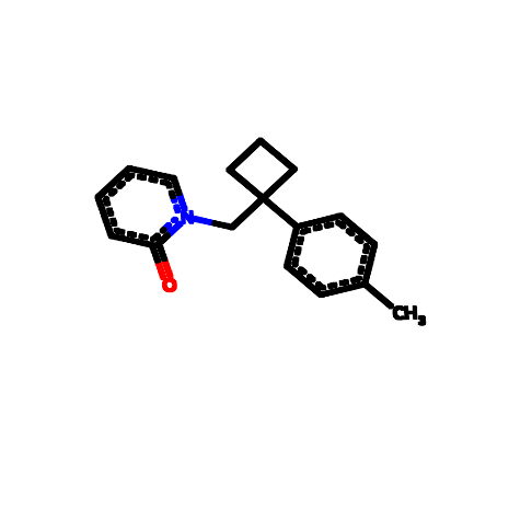 Cc1ccc(C2(Cn3ccccc3=O)CCC2)cc1